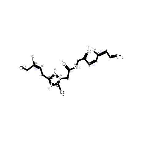 C=C/C=C(F)\C=C/C(=C)CNC(=O)Cn1nc(C/C=C(/F)CCl)nc1CC